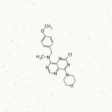 COc1ccc(CN(C)c2ncnc3c(N4CCOCC4)nc(Cl)nc23)cc1